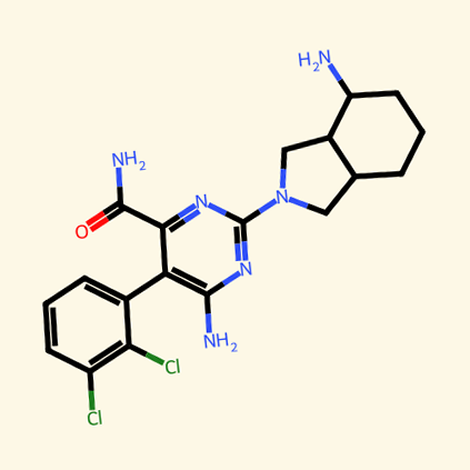 NC(=O)c1nc(N2CC3CCCC(N)C3C2)nc(N)c1-c1cccc(Cl)c1Cl